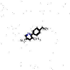 Cc1cnc(-c2ccc(CC(C)C)cc2)c(C)c1